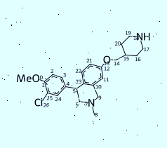 COc1ccc(C2CN(C)Cc3cc(OCC4CCNCC4)ccc32)cc1Cl